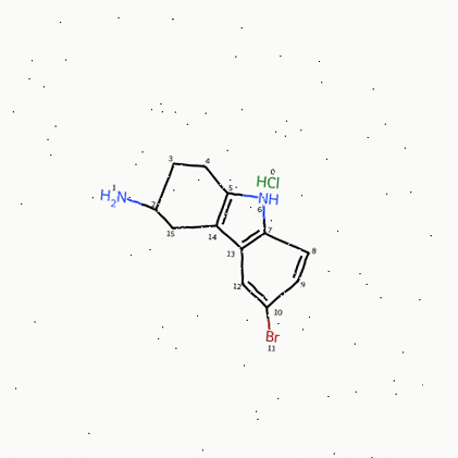 Cl.NC1CCc2[nH]c3ccc(Br)cc3c2C1